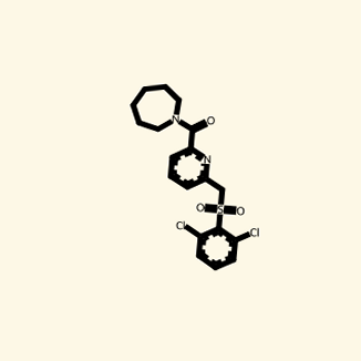 O=C(c1cccc(CS(=O)(=O)c2c(Cl)cccc2Cl)n1)N1CCCCCC1